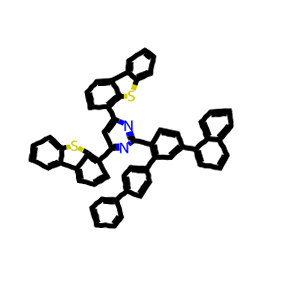 c1ccc(-c2ccc(-c3cc(-c4cccc5ccccc45)ccc3-c3nc(-c4cccc5c4sc4ccccc45)cc(-c4cccc5c4sc4ccccc45)n3)cc2)cc1